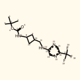 CC(C)(C)OC(=O)NC1CC(CNc2cnc(C(F)(F)F)cn2)C1